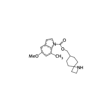 COc1cc(C)c2c(ccn2C(=O)OCC2CCC3(CCN3)CC2)c1